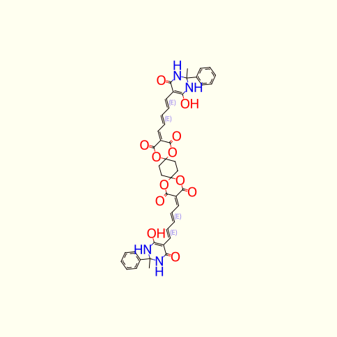 CC1(c2ccccc2)NC(=O)C(/C=C/C=C/C=C2C(=O)OC3(CCC4(CC3)OC(=O)C(=C/C=C/C=C/C3=C(O)NC(C)(c5ccccc5)NC3=O)C(=O)O4)OC2=O)=C(O)N1